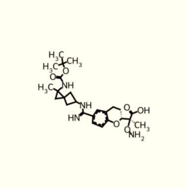 CC(C)(C)OC(=O)NC1(C)CC12CC(NC(=N)c1ccc3c(c1)CC[C@H]([C@](C)(ON)C(=O)O)O3)C2